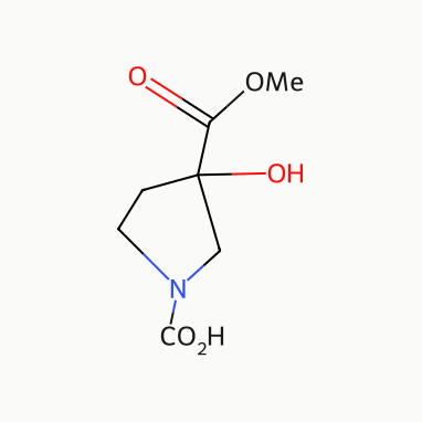 COC(=O)C1(O)CCN(C(=O)O)C1